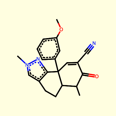 COc1cccc(C23C=C(C#N)C(=O)C(C)C2CCc2cn(C)nc23)c1